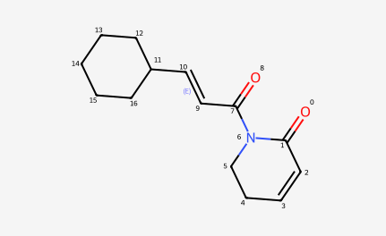 O=C1C=CCCN1C(=O)/C=C/C1CCCCC1